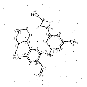 Cc1nc(Nc2cc(C3CCNCC3F)c(C)cc2C=N)cc(N2CC(O)C2)n1